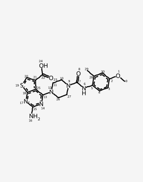 COc1ccc(NC(=O)N2CCN(c3nc(N)nc4scc(C(=O)O)c34)CC2)c(C)c1